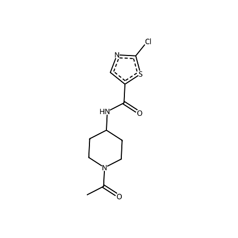 CC(=O)N1CCC(NC(=O)c2cnc(Cl)s2)CC1